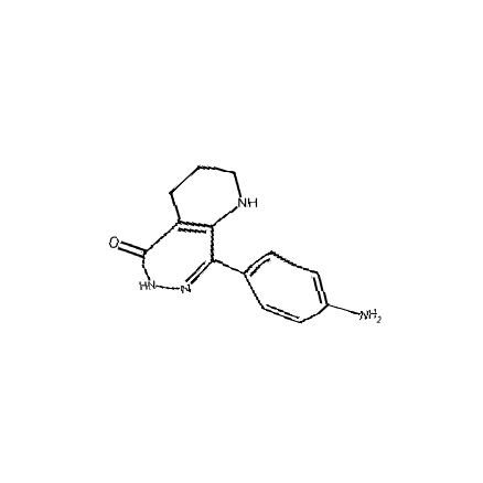 Nc1ccc(-c2n[nH]c(=O)c3c2NCCC3)cc1